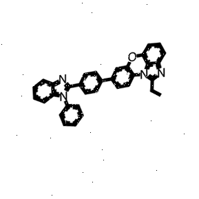 CCc1nc2cccc3c2n1-c1ccc(-c2ccc(-c4nc5ccccc5n4-c4ccccc4)cc2)cc1O3